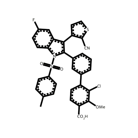 COc1c(C(=O)O)ccc(-c2cccc(-c3c(-c4ccsc4C#N)c4cc(F)ccc4n3S(=O)(=O)c3ccc(C)cc3)c2)c1Cl